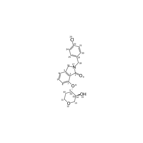 O=C1c2c(cccc2O[C@H]2CCOC[C@@H]2O)CN1Cc1ccc(Cl)cc1